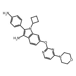 Nc1ccc(-c2c(N)c3ccc(Oc4nccc(N5CCOCC5)n4)cc3n2C2CCC2)cc1